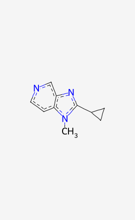 Cn1c(C2CC2)nc2cnccc21